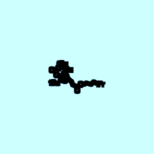 CC(C)CCCCOC(=O)CCc1cc(C(C)(C)C)c(OC(=O)OC(C)(C)C)c(C(C)(C)C)c1